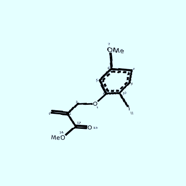 C=C(COc1cc(OC)ccc1I)C(=O)OC